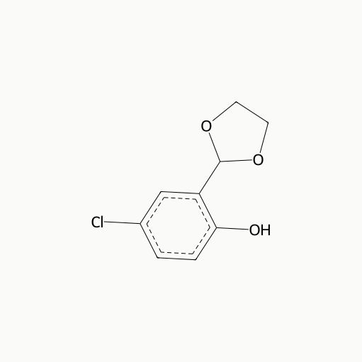 Oc1ccc(Cl)cc1C1OCCO1